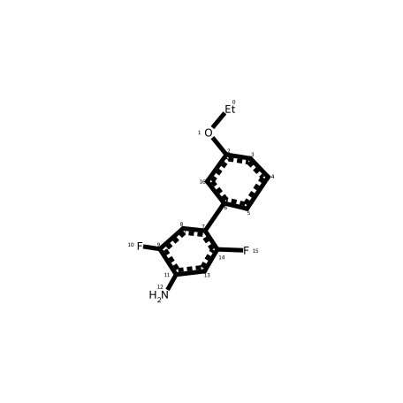 CCOc1cccc(-c2cc(F)c(N)cc2F)c1